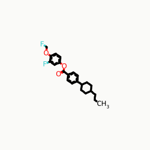 CCCC1CCC(c2ccc(C(=O)Oc3ccc(OCF)c(F)c3)cc2)CC1